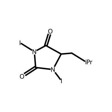 CC(C)CC1C(=O)N(I)C(=O)N1I